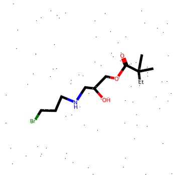 CCC(C)(C)C(=O)OCC(O)CNCCCBr